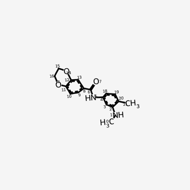 CNc1cc(NC(=O)c2ccc3c(c2)OCCO3)ccc1C